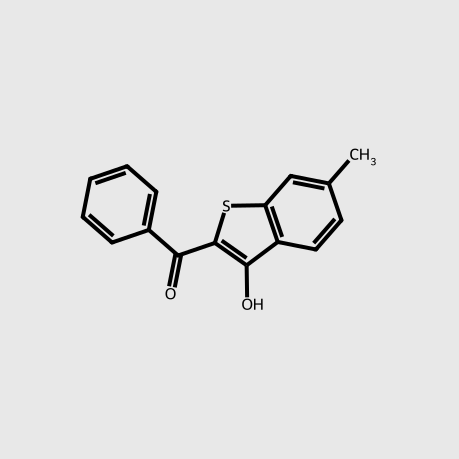 Cc1ccc2c(O)c(C(=O)c3ccccc3)sc2c1